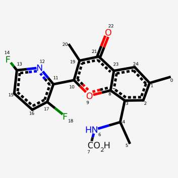 Cc1cc(C(C)NC(=O)O)c2oc(-c3nc(F)ccc3F)c(C)c(=O)c2c1